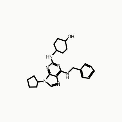 OC1CCC(Nc2nc(NCc3ccccc3)c3ncn(C4CCCC4)c3n2)CC1